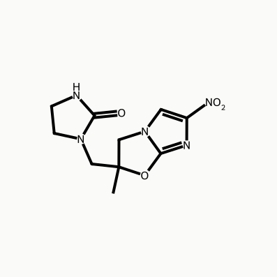 CC1(CN2CCNC2=O)Cn2cc([N+](=O)[O-])nc2O1